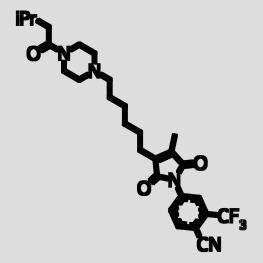 CC1=C(CCCCCCN2CCN(C(=O)CC(C)C)CC2)C(=O)N(c2ccc(C#N)c(C(F)(F)F)c2)C1=O